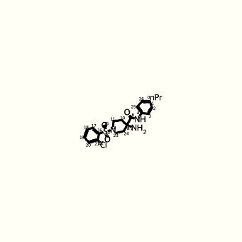 CCCc1ccc(NC(=O)C2(N)CCN(S(=O)(=O)c3ccccc3Cl)CC2)cc1